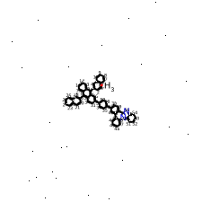 C/C=C\C(=C/c1ccccc1)c1c2ccccc2c(-c2ccc3ccccc3c2)c2ccc(-c3ccc(-c4ccc5c(c4)c4ccccc4n4c6ccccc6nc54)cc3)cc12